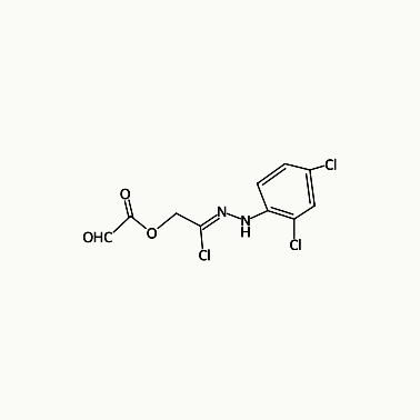 O=CC(=O)OCC(Cl)=NNc1ccc(Cl)cc1Cl